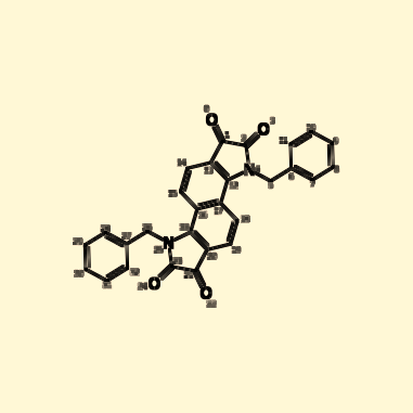 O=c1c(=O)n(Cc2ccccc2)c2c1ccc1c2ccc2c(=O)c(=O)n(Cc3ccccc3)c21